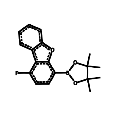 CC1(C)OB(c2ccc(F)c3c2oc2ccccc23)OC1(C)C